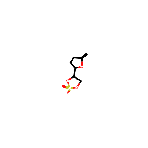 C=C1CCC(C2COS(=O)(=O)O2)O1